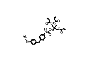 C=CC(=O)OCC(COC(=O)C=C)(COC(=O)C=C)COC(=O)Nc1ccc(Cc2ccc(N=C=O)cc2)cc1